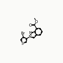 COC(=O)c1cccc2cn(-c3cscc3Br)nc12